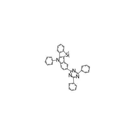 C[Si]1(C)c2ccccc2-c2c1c1cc(-c3nc(-c4ccccc4)nc(-c4ccccc4)n3)ccc1n2-c1ccccc1